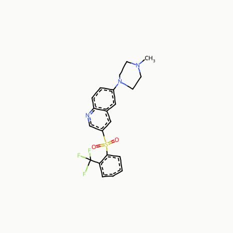 CN1CCN(c2ccc3ncc(S(=O)(=O)c4ccccc4C(F)(F)F)cc3c2)CC1